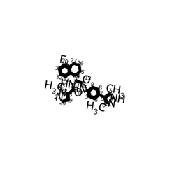 Cc1n[nH]c(C)c1-c1ccc(NC(=O)C(NC(=O)c2ccnn2C)[C@H]2CCCc3c(F)cccc32)cc1